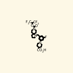 O=C(O)C1CCN(c2cc(F)cc(CN3CCCC34CCN(C(=O)OC(C(F)(F)F)C(F)(F)F)CC4)c2)CC1